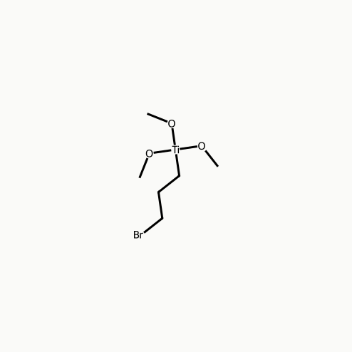 C[O][Ti]([CH2]CCBr)([O]C)[O]C